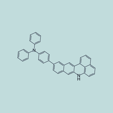 c1ccc(N(c2ccccc2)c2ccc(-c3ccc4cc5c(cc4c3)-c3cccc4cccc(c34)N5)cc2)cc1